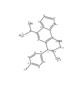 CC(O)c1cc2c(c3ncccc13)NSN(C)C2c1ccc(F)cc1